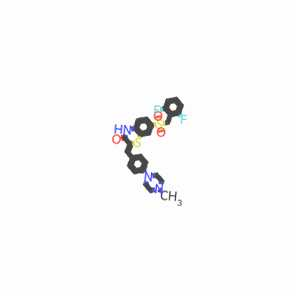 CN1CCN(c2ccc(C=C3Sc4cc(S(=O)(=O)Cc5c(F)cccc5F)ccc4NC3=O)cc2)CC1